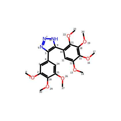 COc1cc(-c2nn[nH]c2-c2cc(OC)c(OC)c(OC)c2OC)cc(OC)c1OC